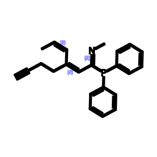 C#CCCC(/C=C\C)=C/C(=N/C)P(c1ccccc1)c1ccccc1